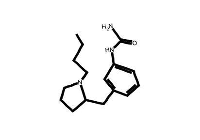 CCCCN1CCCC1Cc1cccc(NC(N)=O)c1